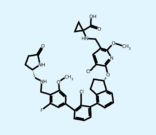 COc1cc(-c2cccc(-c3cccc4c3CC[C@@H]4Oc3nc(OC)c(CNC4(C(=O)O)CC4)cc3Cl)c2Cl)cc(F)c1CNC[C@@H]1CCC(=O)N1